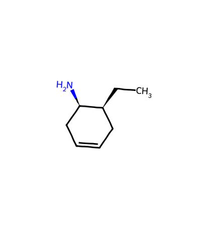 CC[C@H]1CC=CC[C@H]1N